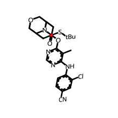 Cc1c(Nc2ccc(C#N)cc2Cl)ncnc1OC1CC2COCC(C1)N2C(=O)SC(C)(C)C